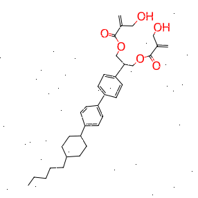 C=C(CO)C(=O)OCC(COC(=O)C(=C)CO)c1ccc(-c2ccc(C3CCC(CCCCC)CC3)cc2)cc1